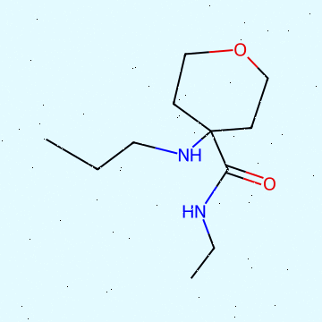 CCCNC1(C(=O)NCC)CCOCC1